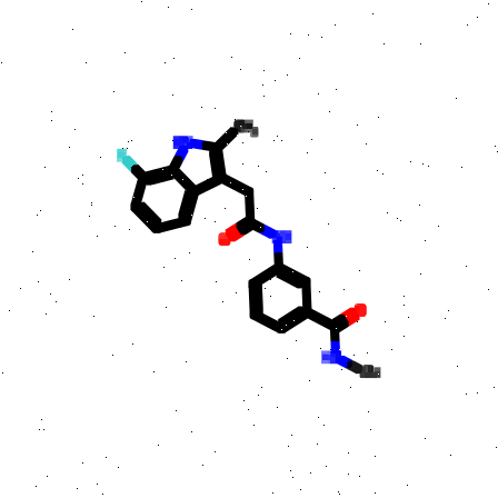 Cc1[nH]c2c(F)cccc2c1CC(=O)Nc1cccc(C(=O)NC(C)(C)C)c1